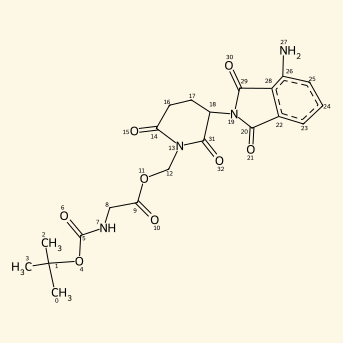 CC(C)(C)OC(=O)NCC(=O)OCN1C(=O)CCC(N2C(=O)c3cccc(N)c3C2=O)C1=O